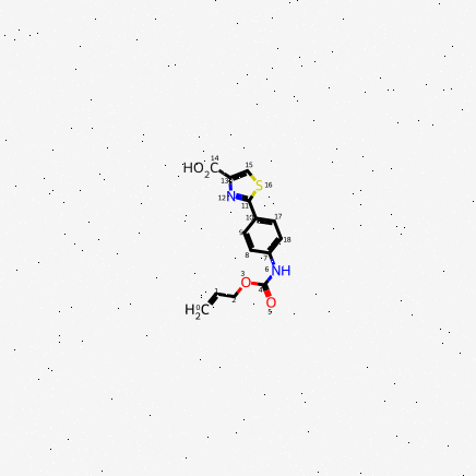 C=CCOC(=O)Nc1ccc(-c2nc(C(=O)O)cs2)cc1